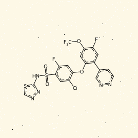 O=S(=O)(Nc1nncs1)c1cc(Cl)c(Oc2cc(OC(F)(F)F)c(F)cc2-c2ccnnc2)cc1F